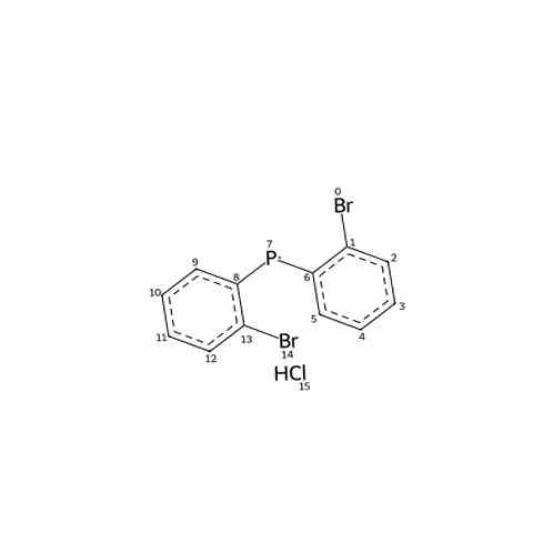 Brc1ccccc1[P]c1ccccc1Br.Cl